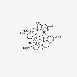 C#C[C@]1(O)CC[C@H]2[C@@H]3CCc4cc(O)ccc4[C@H]3CC[C@@]21C.C[C@H]1CC(=O)C[C@@H]2CC[C@H]3[C@@H]4CC[C@H](O)[C@@]4(C)CC[C@@H]3[C@]21C